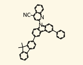 CC1(C)c2ccccc2-c2ccc(-c3ccc4c(c3)c3cc(-c5ccccc5)ccc3n4-c3cc(C#N)c4ccccc4n3)cc21